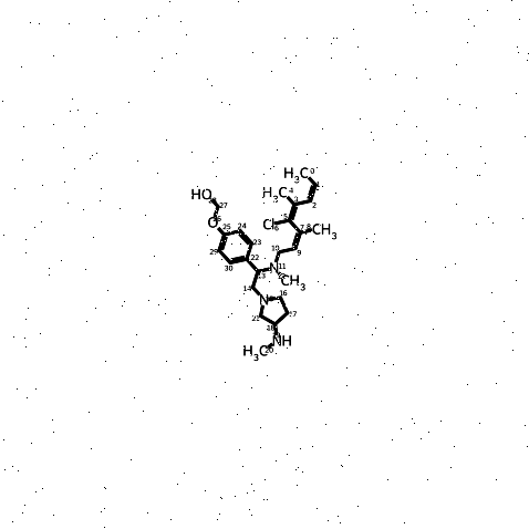 C/C=C\C(C)=C(\Cl)C(C)=CCN(C)C(CN1CCC(NC)C1)c1ccc(OCO)cc1